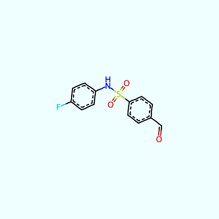 O=Cc1ccc(S(=O)(=O)Nc2ccc(F)cc2)cc1